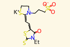 CCN1C(=O)C(=CC=C2SCCN2CCCS(=O)(=O)[O-])SC1=S.[K+]